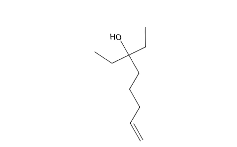 C=CCCCC(O)(CC)CC